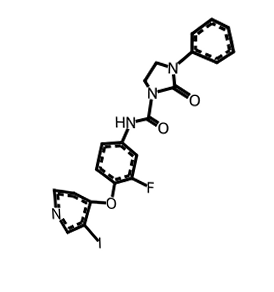 O=C(Nc1ccc(Oc2ccncc2I)c(F)c1)N1CCN(c2ccccc2)C1=O